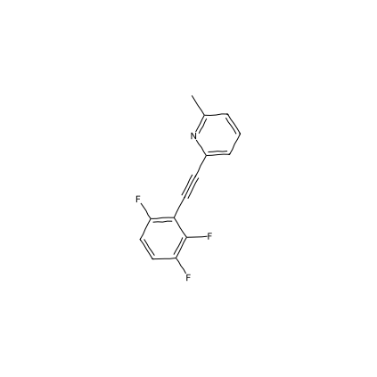 Cc1cccc(C#Cc2c(F)ccc(F)c2F)n1